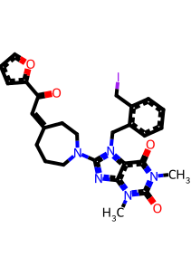 Cn1c(=O)c2c(nc(N3CCC/C(=C/C(=O)c4ccco4)CC3)n2Cc2ccccc2CI)n(C)c1=O